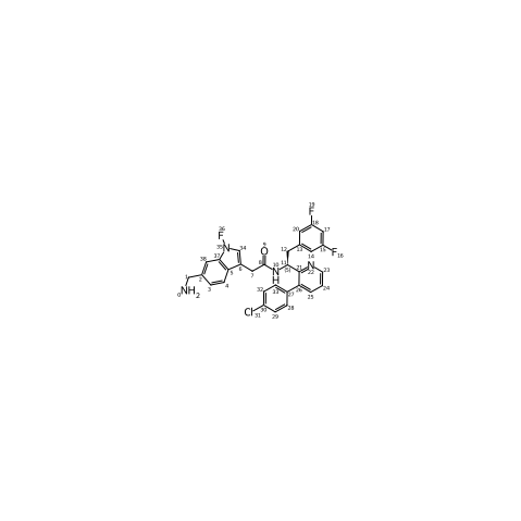 NCc1ccc2c(CC(=O)N[C@@H](Cc3cc(F)cc(F)c3)c3ncccc3-c3ccc(Cl)cc3)cn(F)c2c1